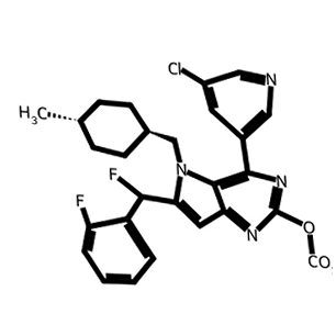 C[C@H]1CC[C@H](Cn2c(C(F)c3ccccc3F)cc3nc(OC(=O)O)nc(-c4cncc(Cl)c4)c32)CC1